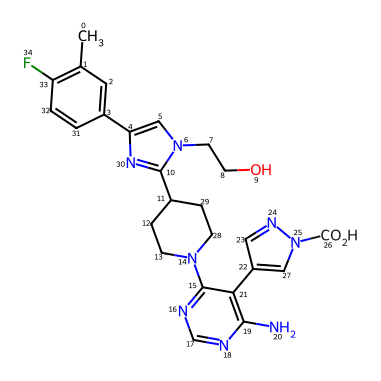 Cc1cc(-c2cn(CCO)c(C3CCN(c4ncnc(N)c4-c4cnn(C(=O)O)c4)CC3)n2)ccc1F